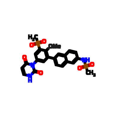 COc1c(-c2ccc3cc(NS(C)(=O)=O)ccc3c2)cc(-n2c(=O)cc[nH]c2=O)cc1S(C)(=O)=O